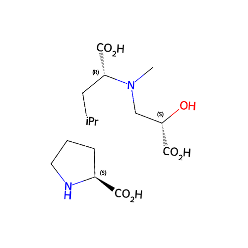 CC(C)C[C@H](C(=O)O)N(C)C[C@H](O)C(=O)O.O=C(O)[C@@H]1CCCN1